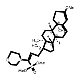 COC1=CC2=CC[C@@H]3[C@H](CC[C@@]4(C)[C@H]3CC[C@@]4(O)CC=C(N3CCOCC3)P(=O)(OC)OC)[C@@]2(C)CC1